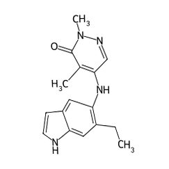 CCc1cc2[nH]ccc2cc1Nc1cnn(C)c(=O)c1C